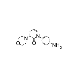 Nc1ccc(N2C=CCC(N3CCOCC3)C2=O)cc1